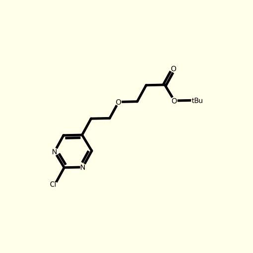 CC(C)(C)OC(=O)CCOCCc1cnc(Cl)nc1